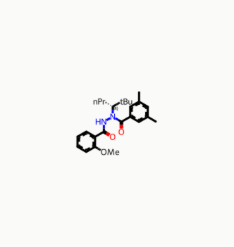 CCC[C@@H](N(NC(=O)c1ccccc1OC)C(=O)c1cc(C)cc(C)c1)C(C)(C)C